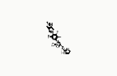 Cn1cc2c(n1)CN(c1c(F)cc(N3C[C@H](CNC4=NCC=C4)OC3=O)c(F)c1F)C2